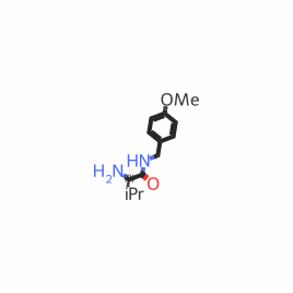 COc1ccc(CNC(=O)[C@H](N)C(C)C)cc1